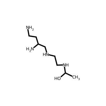 CC(O)NCCNCC(N)CCN